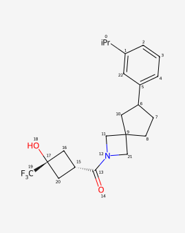 CC(C)c1cccc(C2CCC3(C2)CN(C(=O)[C@H]2C[C@](O)(C(F)(F)F)C2)C3)c1